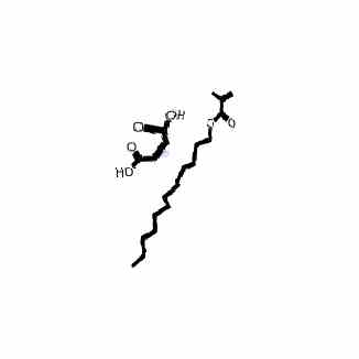 C=C(C)C(=O)OCCCCCCCCCCCC.O=C(O)/C=C\C(=O)O